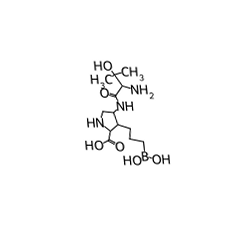 CC(C)(O)C(N)C(=O)NC1CNC(C(=O)O)C1CCCB(O)O